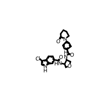 O=C(NC1COCC1NC(=O)c1ccc2c(Cl)c[nH]c2c1)c1ccc(N2CCCCC2=O)cc1